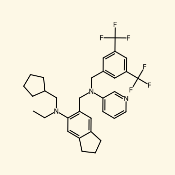 CCN(CC1CCCC1)c1cc2c(cc1CN(Cc1cc(C(F)(F)F)cc(C(F)(F)F)c1)c1cccnc1)CCC2